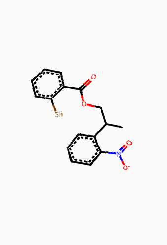 CC(COC(=O)c1ccccc1S)c1ccccc1[N+](=O)[O-]